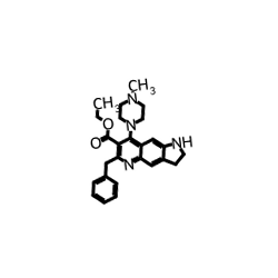 CCOC(=O)c1c(Cc2ccccc2)nc2cc3c(cc2c1N1CCN(C)CC1)NCC3